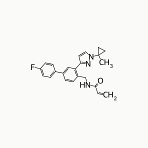 C=CC(=O)NCc1ccc(-c2ccc(F)cc2)cc1-c1ccn(C2(C)CC2)n1